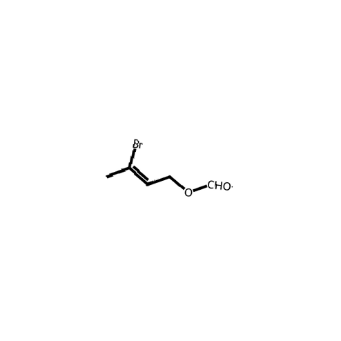 CC(Br)=CCO[C]=O